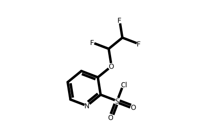 O=S(=O)(Cl)c1ncccc1OC(F)C(F)F